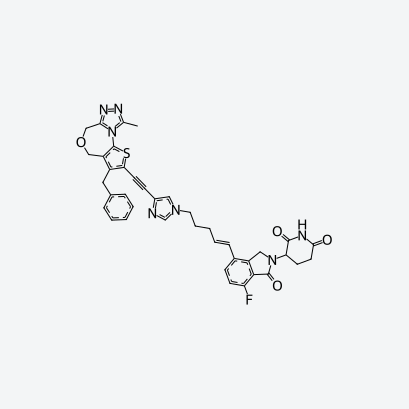 Cc1nnc2n1-c1sc(C#Cc3cn(CCC/C=C/c4ccc(F)c5c4CN(C4CCC(=O)NC4=O)C5=O)cn3)c(Cc3ccccc3)c1COC2